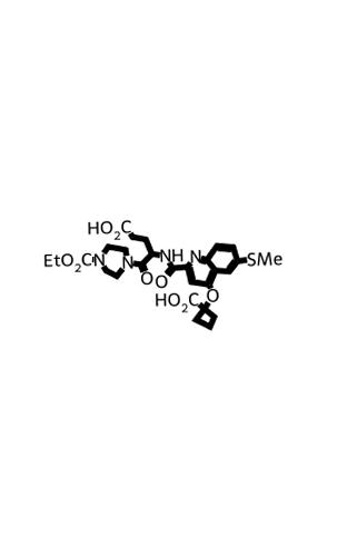 CCOC(=O)N1CCN(C(=O)C(CCC(=O)O)NC(=O)c2cc(OC3(C(=O)O)CCC3)c3cc(SC)ccc3n2)CC1